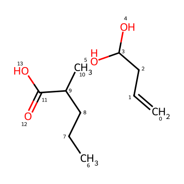 C=CCC(O)O.CCCC(C)C(=O)O